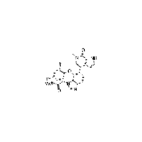 CNC(=O)Cn1cnc2ccc(-c3cn(C)c(=O)c4[nH]ccc34)c(Oc3ccc(F)cc3F)c21